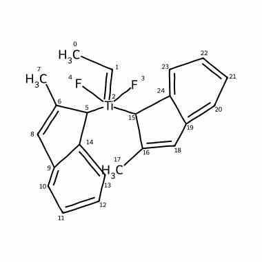 C[CH]=[Ti]([F])([F])([CH]1C(C)=Cc2ccccc21)[CH]1C(C)=Cc2ccccc21